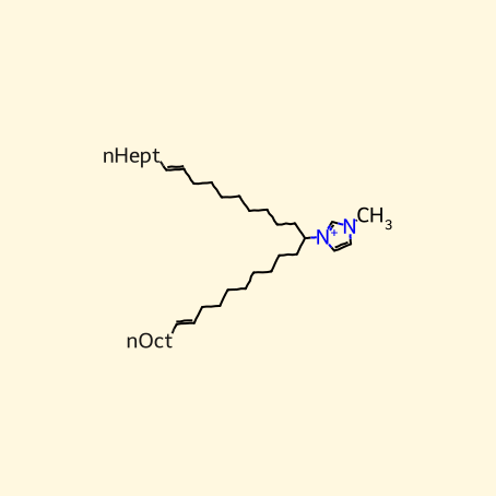 CCCCCCCC=CCCCCCCCCC(CCCCCCCCC=CCCCCCCCC)[n+]1ccn(C)c1